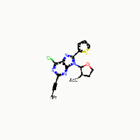 CCCC#Cc1nc(Cl)c2nc(-c3cccs3)n(C3OCCC3OC(C)=O)c2n1